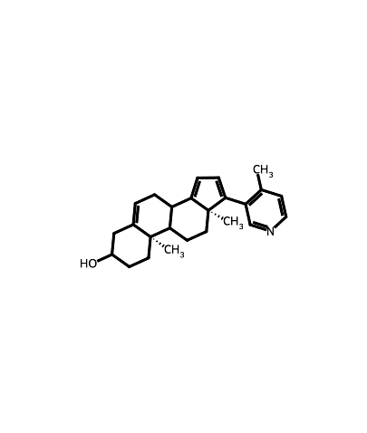 Cc1ccncc1C1=CC=C2C3CC=C4CC(O)CC[C@]4(C)C3CC[C@]12C